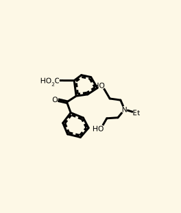 CCN(CCO)CCO.O=C(O)c1ccccc1C(=O)c1ccccc1